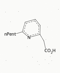 CCCCCc1cccc(CC(=O)O)n1